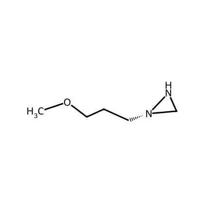 COCCC[N@@]1CN1